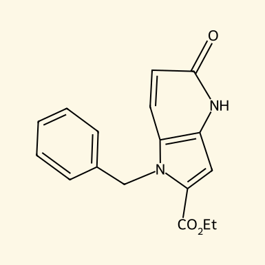 CCOC(=O)c1cc2[nH]c(=O)ccc2n1Cc1ccccc1